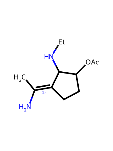 CCNC1/C(=C(\C)N)CCC1OC(C)=O